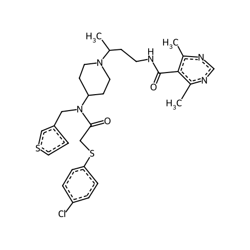 Cc1ncnc(C)c1C(=O)NCCC(C)N1CCC(N(Cc2ccsc2)C(=O)CSc2ccc(Cl)cc2)CC1